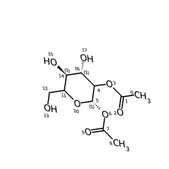 CC(=O)OC1[C@H](OC(C)=O)OC(CO)[C@@H](O)[C@@H]1O